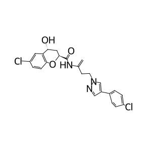 C=C(CCn1cc(-c2ccc(Cl)cc2)cn1)NC(=O)[C@@H]1C[C@@H](O)c2cc(Cl)ccc2O1